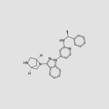 C[C@H](Nc1cc(-n2nc(N3C[C@@H]4C[C@H]3CN4)c3ccccc32)ccn1)c1ccccc1